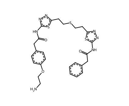 NCCOc1ccc(CC(=O)Nc2nnc(CCSCCc3nnc(NC(=O)Cc4ccccc4)s3)s2)cc1